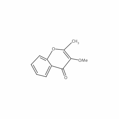 COc1c(C)oc2ccccc2c1=O